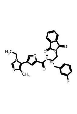 CCn1cnc(C)c1-c1coc(C(=O)N[C@@H](Cc2cccc(F)c2)CN2C(=O)c3ccccc3C2=O)c1